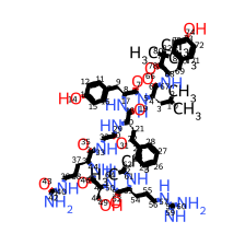 CC(C)C[C@H](NC(=O)[C@H](Cc1ccc(O)cc1)NC(=O)[C@H](CCc1ccccc1)NC(=O)CNC(=O)[C@H](CCCNC(N)=O)NC(=O)[C@H](CO)NC(=O)[C@H](CCCNC(=N)N)NC(C)C)C(=O)N[C@@H](Cc1ccc(O)cc1)C(=O)C(C)(C)C